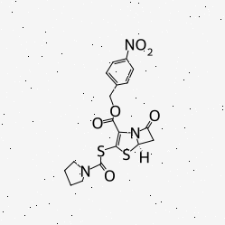 O=C(OCc1ccc([N+](=O)[O-])cc1)C1=C(SC(=O)N2CCCC2)S[C@@H]2CC(=O)N12